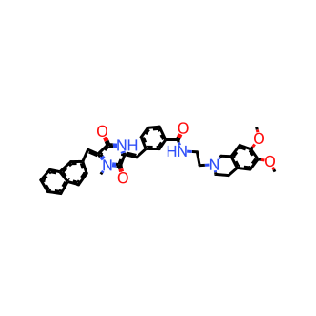 COc1cc2c(cc1OC)CN(CCNC(=O)c1cccc(/C=c3\[nH]c(=O)/c(=C/c4ccc5ccccc5c4)n(C)c3=O)c1)CC2